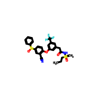 C=S(=O)(CCC)NC(=O)Cc1cc(Oc2ccc([S+]([O-])c3ccccc3)cc2C#N)cc(C(F)(F)F)c1